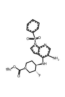 CC(C)(C)OC(=O)N1CC[C@@H](Nc2c(N)cnc3c2ccn3S(=O)(=O)c2ccccc2)[C@H](F)C1